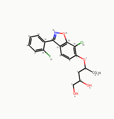 O=C(O)C(CC(O)CO)Oc1ccc2c(-c3ccccc3F)noc2c1Cl